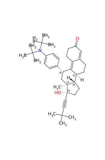 BC(B)(B)N(c1ccc([C@H]2C[C@@]3(C)[C@@H](CC[C@@]3(O)C#CC(C)(C)C)[C@@H]3CCC4=CC(=O)CCC4=C32)cc1)C(B)(B)B